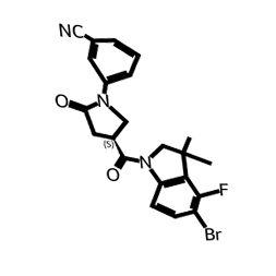 CC1(C)CN(C(=O)[C@H]2CC(=O)N(c3cccc(C#N)c3)C2)c2ccc(Br)c(F)c21